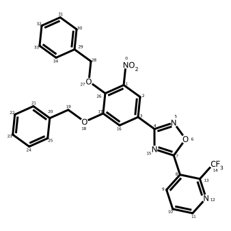 O=[N+]([O-])c1cc(-c2noc(-c3cccnc3C(F)(F)F)n2)cc(OCc2ccccc2)c1OCc1ccccc1